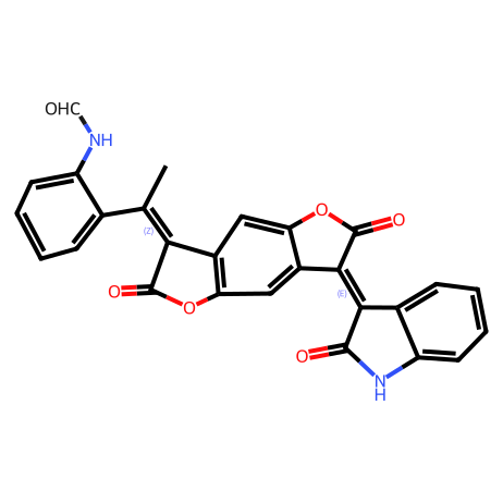 C/C(=C1/C(=O)Oc2cc3c(cc21)OC(=O)/C3=C1/C(=O)Nc2ccccc21)c1ccccc1NC=O